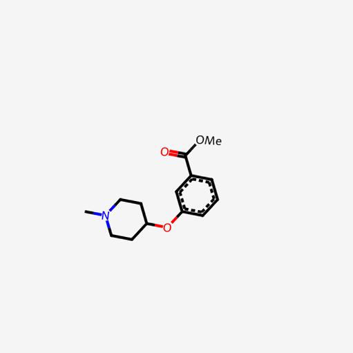 COC(=O)c1cccc(OC2CCN(C)CC2)c1